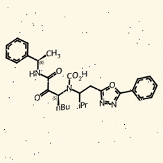 CCCC[C@@H](C(=O)C(=O)N[C@H](C)c1ccccc1)N(C(=O)O)C(Cc1nnc(-c2ccccc2)o1)C(C)C